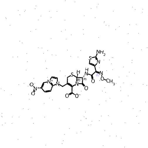 CO/N=C(\C(=O)N[C@@H]1C(=O)N2C(C(=O)[O-])=C(Cn3cc[n+]4cc([N+](=O)[O-])ccc34)CS[C@H]12)c1csc(N)n1